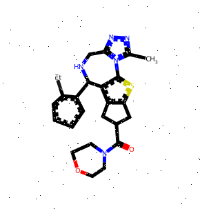 CCc1ccccc1C1NCc2nnc(C)n2-c2sc3c(c21)CC(C(=O)N1CCOCC1)C3